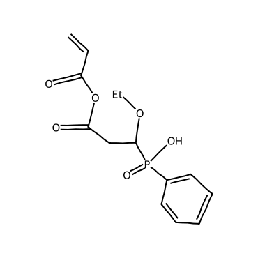 C=CC(=O)OC(=O)CC(OCC)P(=O)(O)c1ccccc1